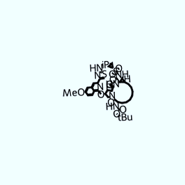 COc1ccc2c(O[C@@H]3C[C@H]4C(=O)N[C@]5(C(=O)NS(=O)(=O)C6CC6)C[C@H]5CCCCCCC[C@H](NC(=O)OC(C)(C)C)C(=O)N4C3)nc(-c3csc(NC(C)C)n3)cc2c1